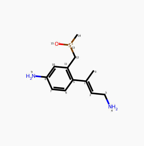 C/C(=C\CN)c1ccc(N)cc1C[S+](C)[O-]